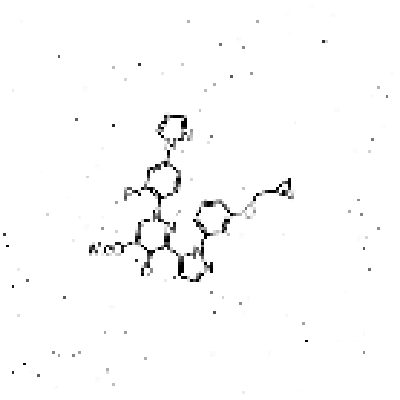 COc1cn(-c2ccc(-n3cccn3)cc2F)nc(-c2ccnn2-c2cccc(OCC3=CC3)c2)c1=O